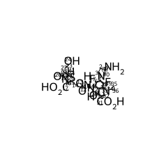 N[C@H]1CCN(c2c(F)c(NNC(=O)OCC3=C(C(=O)O)N4C(=O)[C@H](CCO)[C@H]4S3)c3c(=O)c(C(=O)O)cn(C4CC4)c3c2F)C1